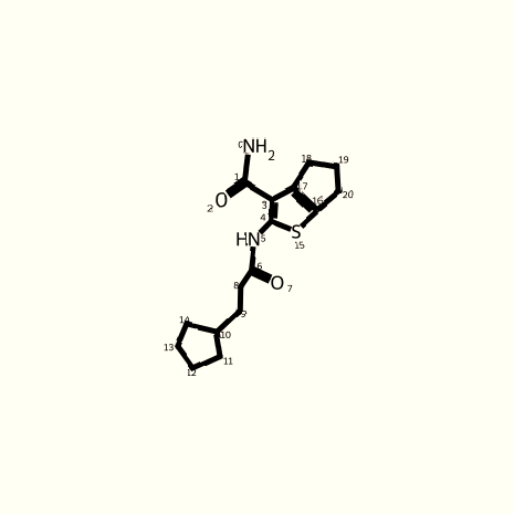 NC(=O)c1c(NC(=O)CCC2CCCC2)sc2c1CCC2